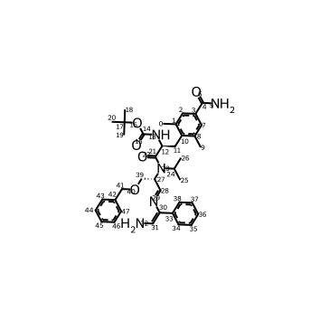 Cc1cc(C(N)=O)cc(C)c1C[C@H](NC(=O)OC(C)(C)C)C(=O)N(C(C)C)[C@H](/C=N/C(=C\N)c1ccccc1)COCc1ccccc1